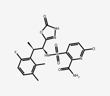 Cc1ccc(F)c([C@@H](C)[C@H](NS(=O)(=O)c2ccc(Cl)nc2C(N)=O)c2n[nH]c(=O)o2)c1C